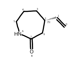 C=C[C@H]1CCCNC(=O)C1